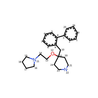 c1ccc(-c2ccccc2CC2(OCCN3CCCC3)CC[N]CC2)cc1